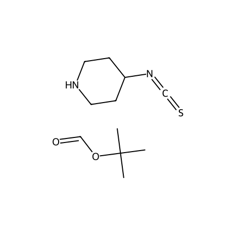 CC(C)(C)OC=O.S=C=NC1CCNCC1